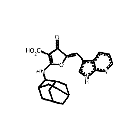 O=C(O)C1=C(NC2C3CC4CC(C3)CC2C4)O/C(=C\c2c[nH]c3ncccc23)C1=O